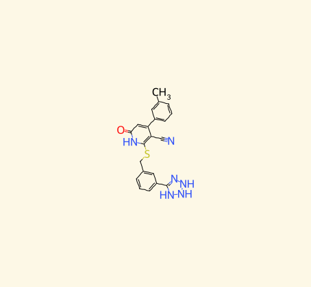 Cc1cccc(-c2cc(=O)[nH]c(SCc3cccc(C4=NNNN4)c3)c2C#N)c1